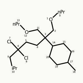 CCCOCC(CCC(Cl)(Cl)CC(C)C)(COCCC)C1CCC(C)CC1